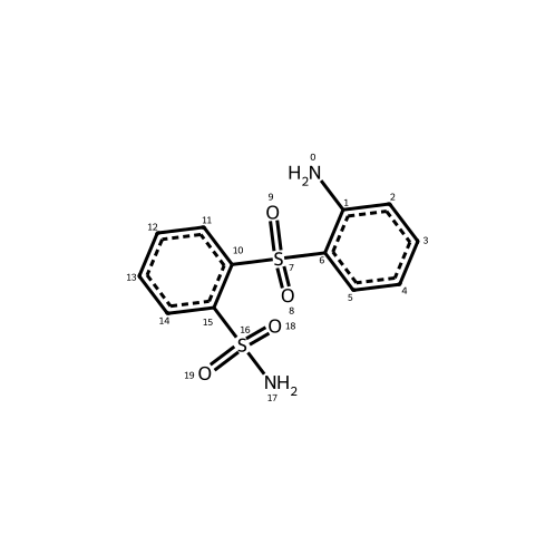 Nc1ccccc1S(=O)(=O)c1ccccc1S(N)(=O)=O